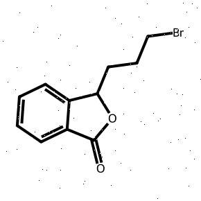 O=C1OC(CCCBr)c2ccccc21